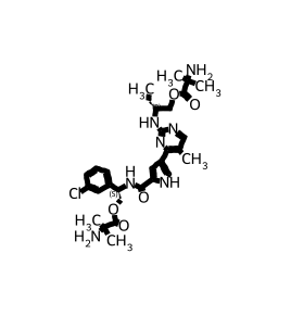 CC[C@H](COC(=O)C(C)(C)N)Nc1ncc(C)c(-c2c[nH]c(C(=O)N[C@H](COC(=O)C(C)(C)N)c3cccc(Cl)c3)c2)n1